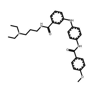 CCN(CC)CCCNC(=O)c1cccc(Nc2ccc(NC(=O)c3ccc(OC)cc3)cc2)c1